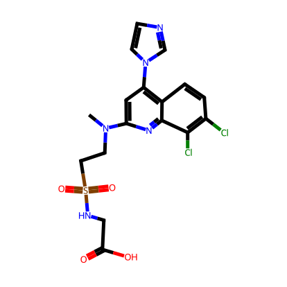 CN(CCS(=O)(=O)NCC(=O)O)c1cc(-n2ccnc2)c2ccc(Cl)c(Cl)c2n1